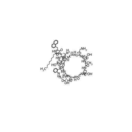 CCCCCCCCCC(=O)N[C@@H](Cc1cccc2ccccc12)C(=O)N[C@H](CC(N)=O)C(=O)N[C@@H](CC(=O)O)C(=O)N[C@@H]1C(=O)NCC(=O)N[C@@H](CCCN)C(=O)N[C@@H](CC(=O)O)C(=O)N[C@H](C)C(=O)N[C@@H](CC(=O)O)C(=O)NCC(=O)N[C@H](CO)C(=O)N[C@@H](C(C)CC(=O)O)C(=O)N[C@@H](CC(=O)c2ccccc2N)C(=O)O[C@@H]1C